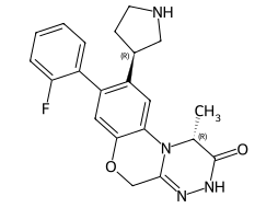 C[C@@H]1C(=O)NN=C2COc3cc(-c4ccccc4F)c([C@H]4CCNC4)cc3N21